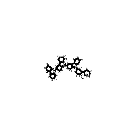 c1cnc2oc3ccc(-n4c5ccccc5c5cc(-n6c7ccccc7c7cc(-n8c9ccccc9c9ccccc98)ccc76)ccc54)cc3c2c1